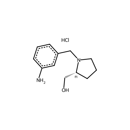 Cl.Nc1cccc(CN2CCC[C@@H]2CO)c1